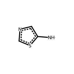 [NH]c1cncs1